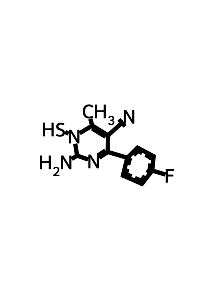 CC1=C(C#N)C(c2ccc(F)cc2)=NC(N)N1S